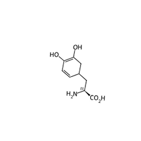 N[C@@H](CC1C=CC(O)=C(O)C1)C(=O)O